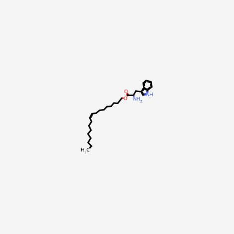 CCCCCCCC/C=C\CCCCCCCCOC(=O)C(N)Cc1c[nH]c2ccccc12